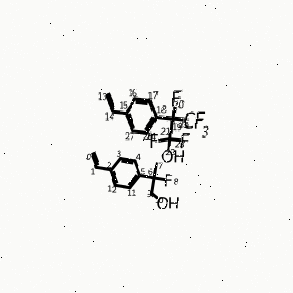 C=Cc1ccc(C(C)(F)CO)cc1.C=Cc1ccc(C(F)(C(O)(F)F)C(F)(F)F)cc1